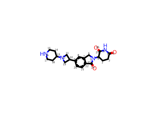 O=C1CCC(N2Cc3cc(C4CN(C5CCNCC5)C4)ccc3C2=O)C(=O)N1